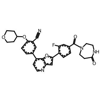 N#Cc1cc(-c2ccnc3cc(-c4ccc(C(=O)N5CCNC(=O)CC5)cc4F)oc23)ccc1OC1CCOCC1